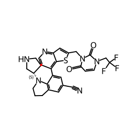 N#Cc1cc2c(c(-c3ccnc4cc(Cn5c(=O)ccn(CC(F)(F)F)c5=O)sc34)c1)N([C@H]1CCNC1)CCC2